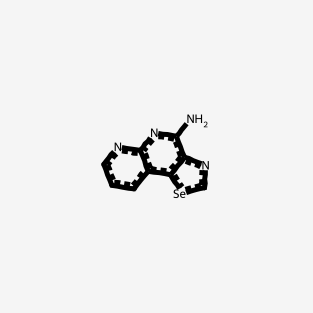 Nc1nc2ncccc2c2[se]cnc12